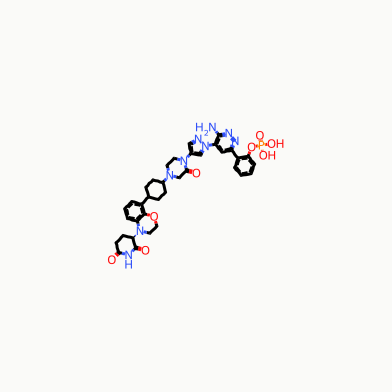 Nc1nnc(-c2ccccc2OP(=O)(O)O)cc1-n1cc(N2CCN(C3CCC(c4cccc5c4OCCN5[C@H]4CCC(=O)NC4=O)CC3)CC2=O)cn1